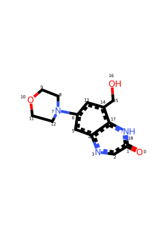 O=c1cnc2cc(N3CCOCC3)cc(CO)c2[nH]1